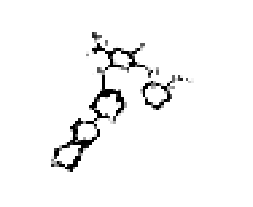 NC(=O)c1cc(F)c(N[C@@H]2CCCC[C@@H]2N)nc1Nc1ccnc(-c2ccc3cnccc3c2)c1